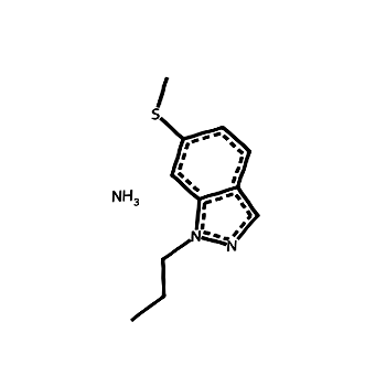 CCCn1ncc2ccc(SC)cc21.N